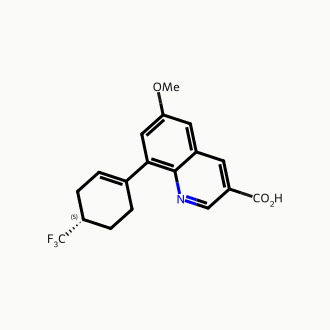 COc1cc(C2=CC[C@@H](C(F)(F)F)CC2)c2ncc(C(=O)O)cc2c1